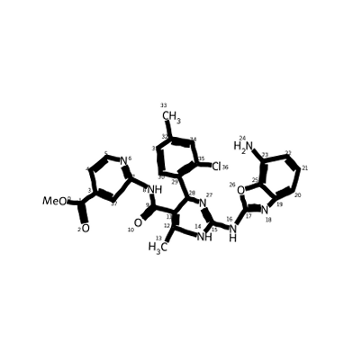 COC(=O)c1ccnc(NC(=O)C2=C(C)NC(Nc3nc4cccc(N)c4o3)=NC2c2ccc(C)cc2Cl)c1